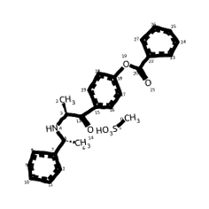 CS(=O)(=O)O.C[C@H](N[C@H](C)c1ccccc1)C(=O)c1ccc(OC(=O)c2ccccc2)cc1